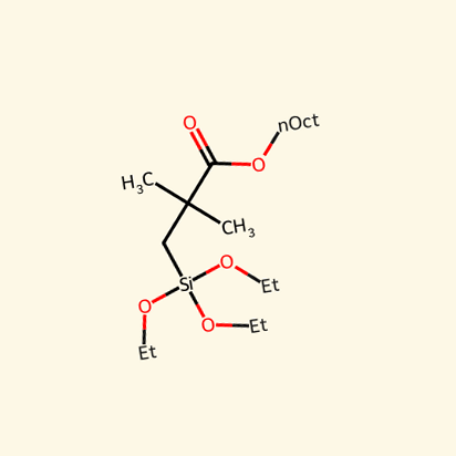 CCCCCCCCOC(=O)C(C)(C)C[Si](OCC)(OCC)OCC